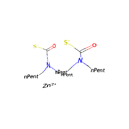 CCCCCN(CCCCC)C(=O)[S-].CCCCCN(CCCCC)C(=O)[S-].[Zn+2]